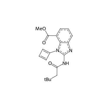 COC(=O)c1cccc2nc(NC(=O)CC(C)(C)C)n(C3=CC=C3)c12